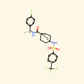 C[C@@H](NC(=O)C12CCC(NS(=O)(=O)c3ccc(C(F)(F)F)cc3)(CC1)CC2)c1ccc(F)cc1